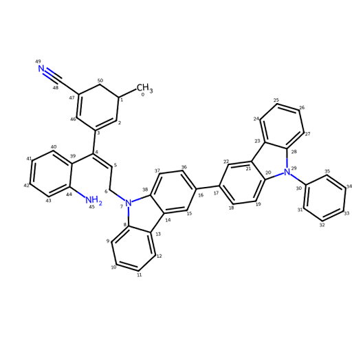 CC1C=C(/C(=C/Cn2c3ccccc3c3cc(-c4ccc5c(c4)c4ccccc4n5-c4ccccc4)ccc32)c2ccccc2N)C=C(C#N)C1